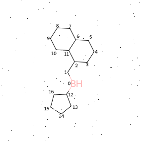 B(CC1CCCC2CCCCC12)C1CCCC1